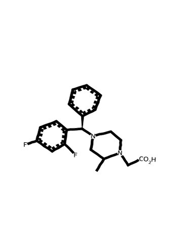 CC1CN([C@H](c2ccccc2)c2ccc(F)cc2F)CCN1CC(=O)O